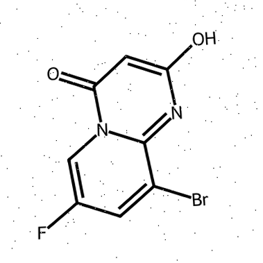 O=c1cc(O)nc2c(Br)cc(F)cn12